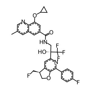 Cc1cnc2c(OC3CC3)cc(C(=O)NC[C@](O)(c3cc4c(c(-c5ccc(F)cc5)n3)OC[C@H]4CF)C(F)(F)F)cc2c1